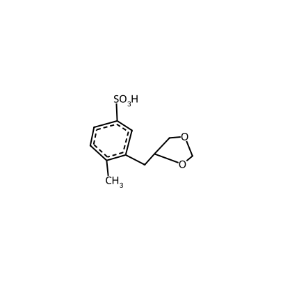 Cc1ccc(S(=O)(=O)O)cc1CC1COCO1